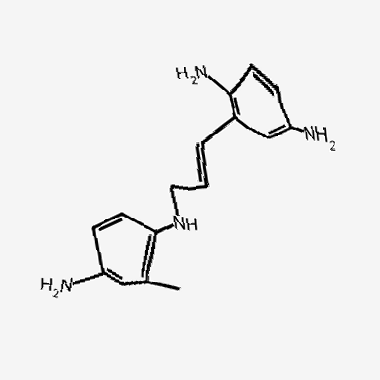 Cc1cc(N)ccc1NCC=Cc1cc(N)ccc1N